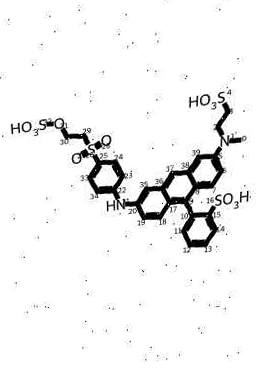 CN(CCS(=O)(=O)O)c1ccc2c(-c3ccccc3S(=O)(=O)O)c3ccc(Nc4ccc(S(=O)(=O)CCOS(=O)(=O)O)cc4)cc3cc2c1